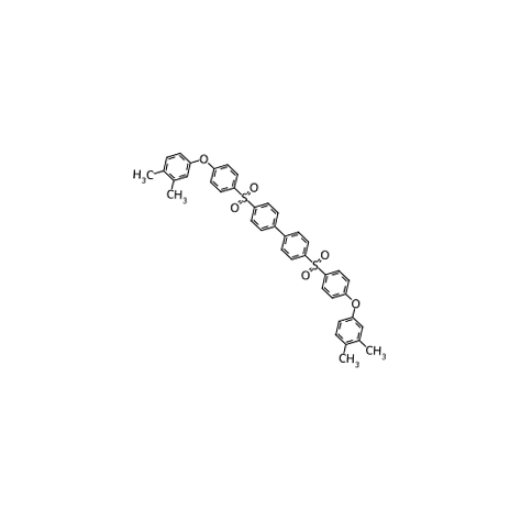 Cc1ccc(Oc2ccc(S(=O)(=O)c3ccc(-c4ccc(S(=O)(=O)c5ccc(Oc6ccc(C)c(C)c6)cc5)cc4)cc3)cc2)cc1C